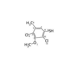 COc1c(Cl)c(C)cc(S)c1Cl